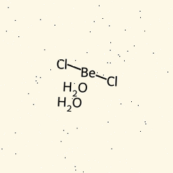 O.O.[Cl][Be][Cl]